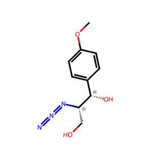 COc1ccc([C@H](O)[C@H](CO)N=[N+]=[N-])cc1